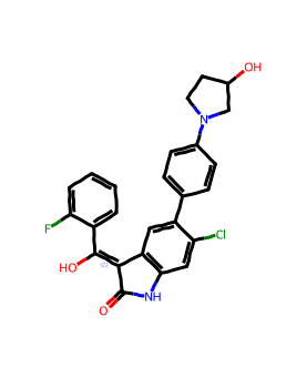 O=C1Nc2cc(Cl)c(-c3ccc(N4CCC(O)C4)cc3)cc2/C1=C(/O)c1ccccc1F